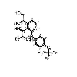 CCC(CC)C(=N)c1c(C(O)CO)ccnc1Nc1ccc(OC(F)(F)P)cc1